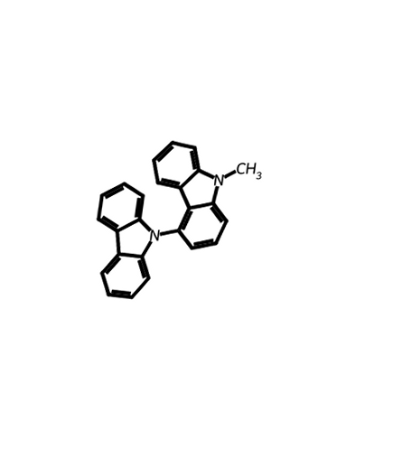 Cn1c2ccccc2c2c(-n3c4ccccc4c4ccccc43)cccc21